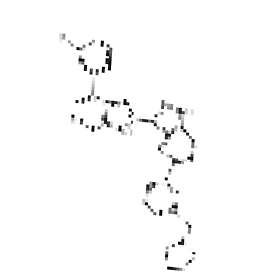 Fc1cccc(-c2cncc3[nH]c(-c4n[nH]c5ncc(-c6cncc(CN7CCCC7)c6)cc45)nc23)c1